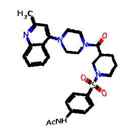 CC(=O)Nc1ccc(S(=O)(=O)N2CCCC(C(=O)N3CCN(c4cc(C)nc5ccccc45)CC3)C2)cc1